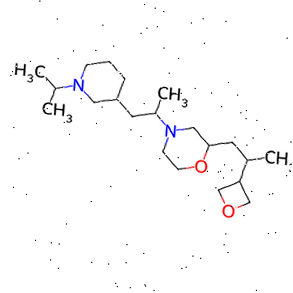 CC(CC1CN(C(C)CC2CCCN(C(C)C)C2)CCO1)C1COC1